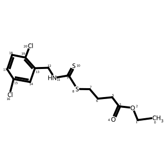 CCOC(=O)CCCSC(=S)NCc1cc(Cl)ccc1Cl